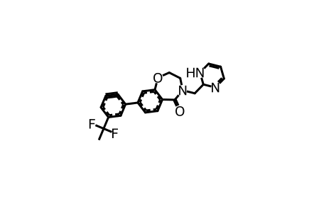 CC(F)(F)c1cc#cc(-c2ccc3c(c2)OCCN(CC2N=CC=CN2)C3=O)c1